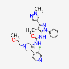 COCCN1CC(c2ccncc2F)[C@H](NC(=O)Nc2c(C)c(-c3cnn(C)c3)nn2-c2ccccc2)C1